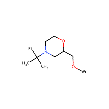 CCC(C)(C)N1CCOC(COC(C)C)C1